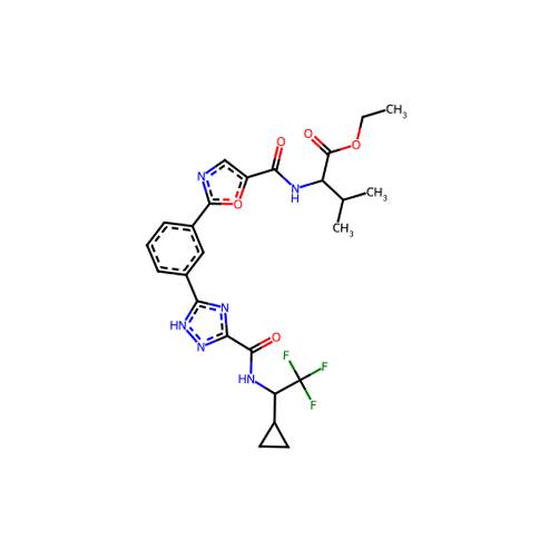 CCOC(=O)C(NC(=O)c1cnc(-c2cccc(-c3nc(C(=O)NC(C4CC4)C(F)(F)F)n[nH]3)c2)o1)C(C)C